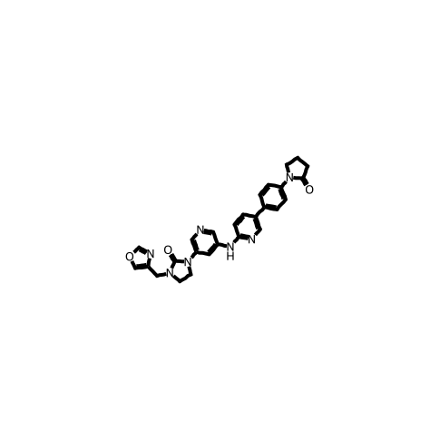 O=C1CCCN1c1ccc(-c2ccc(Nc3cncc(N4CCN(Cc5cocn5)C4=O)c3)nc2)cc1